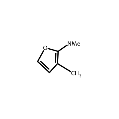 CNc1occc1C